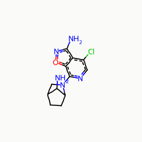 Nc1noc2c(N3CC4CCC3C4N)ncc(Cl)c12